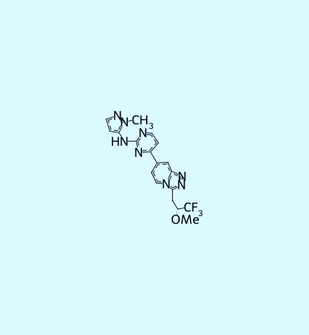 CO[C@H](Cc1nnc2cc(-c3ccnc(Nc4ccnn4C)n3)ccn12)C(F)(F)F